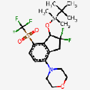 CC(C)(C)[Si](C)(C)OC1c2c(S(=O)(=O)C(F)(F)F)ccc(N3CCOCC3)c2CC1(F)F